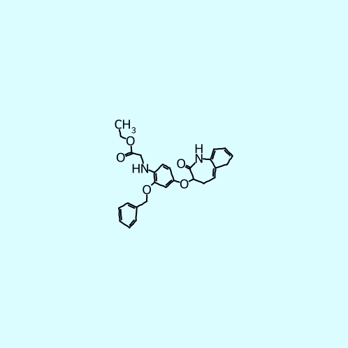 CCOC(=O)CNc1ccc(OC2CC=C3CC=CC=C3NC2=O)cc1OCc1ccccc1